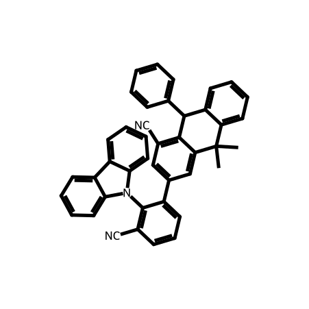 CC1(C)c2ccccc2C(c2ccccc2)c2c(C#N)cc(-c3cccc(C#N)c3-n3c4ccccc4c4ccccc43)cc21